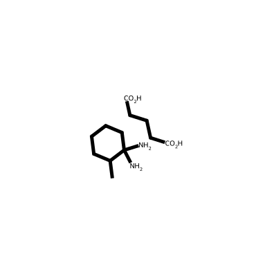 CC1CCCCC1(N)N.O=C(O)CCCC(=O)O